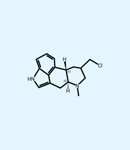 CN1CC(CCl)C[C@H]2c3cccc4[nH]cc(c34)C[C@@H]21